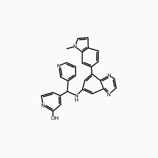 Cn1ccc2ccc(-c3cc(NC(c4cccnc4)c4ccnc(O)c4)cc4nccnc34)cc21